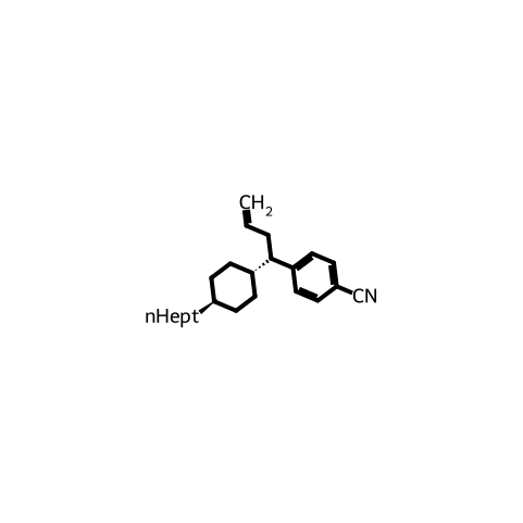 C=CCC(c1ccc(C#N)cc1)[C@H]1CC[C@H](CCCCCCC)CC1